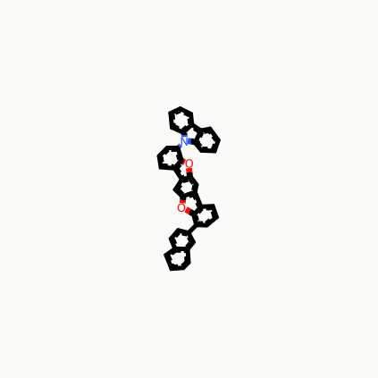 c1ccc2cc(-c3cccc4c3oc3cc5c(cc34)oc3c(-n4c6ccccc6c6ccccc64)cccc35)ccc2c1